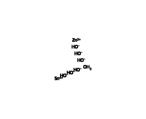 O.[OH-].[OH-].[OH-].[OH-].[OH-].[OH-].[Sn+4].[Zn+2]